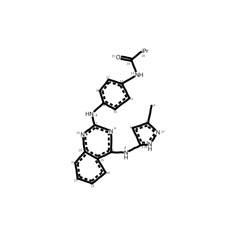 Cc1cc(Nc2nc(Nc3ccc(NC(=O)C(C)C)cc3)nc3ccccc23)[nH]n1